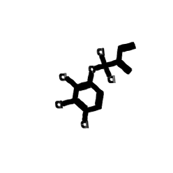 C=CC(=C)C(Cl)(Cl)Oc1ccc(Cl)c(Cl)c1Cl